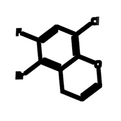 Fc1cc(Cl)c2c(c1Br)CC=CO2